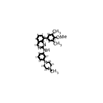 COc1c(C)cc(-c2cccc3cnc(Nc4cccc(N5CCN(C)CC5)c4)nc23)cc1C